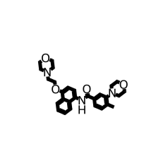 Cc1ccc(C(=O)Nc2ccc(OCCN3CCOCC3)c3ccccc23)cc1N1CCOCC1